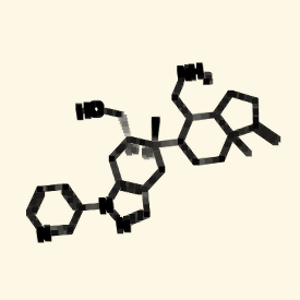 C=C1CCC2C(CN)C([C@]3(C)Cc4cnn(-c5cccnc5)c4C[C@@H]3CO)CCC12C